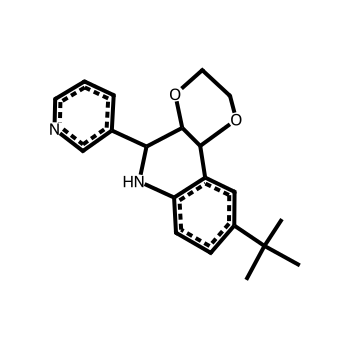 CC(C)(C)c1ccc2c(c1)C1OCCOC1C(c1cccnc1)N2